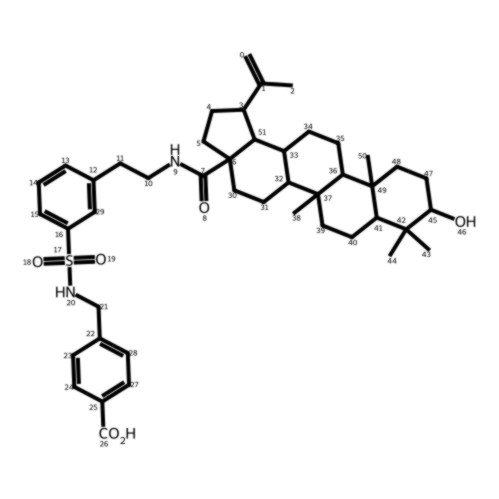 C=C(C)C1CCC2(C(=O)NCCc3cccc(S(=O)(=O)NCc4ccc(C(=O)O)cc4)c3)CCC3C(CCC4C3(C)CCC3C(C)(C)C(O)CCC34C)C12